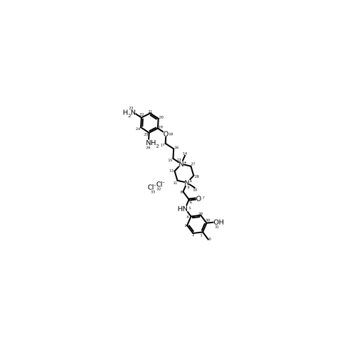 Cc1ccc(NC(=O)C[N+]2(C)CC[N+](C)(CCCOc3ccc(N)cc3N)CC2)cc1O.[Cl-].[Cl-]